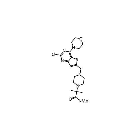 CNC(=O)C(C)(C)N1CCN(Cc2cc3nc(Cl)nc(N4CCOCC4)c3s2)CC1